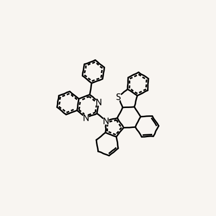 C1=CC2c3c4c(n(-c5nc(-c6ccccc6)c6ccccc6n5)c3C3Sc5ccccc5C3C2C=C1)CCC=C4